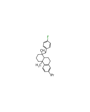 CC(C)c1ccc2c(c1)CCC1C(C)(Cc3ccc(F)cc3)CCCC21C